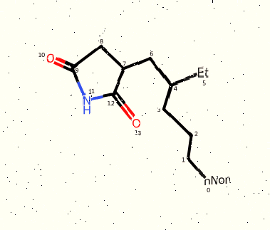 CCCCCCCCCCCCC(CC)CC1CC(=O)NC1=O